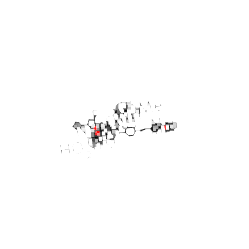 COC(=O)NC(C(=O)NC(Cc1ccc(C#Cc2ccc(N3CC4CCC(C3)N4C(C)C)nc2)cc1)C(O)CN(Cc1c(F)cc(-c2ccccn2)cc1F)NC(=O)C(NC(=O)O)C(C)(C)C(F)(F)F)C(C)(C)C(F)(F)F